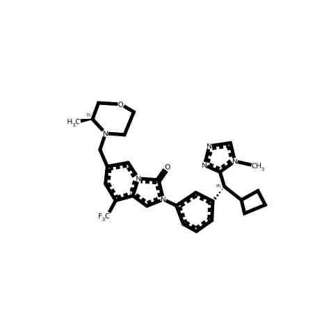 C[C@H]1COCCN1Cc1cc(C(F)(F)F)c2cn(-c3cccc([C@H](c4nncn4C)C4CCC4)c3)c(=O)n2c1